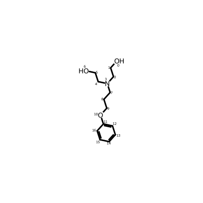 OCCN(CCO)CCCOc1ccccc1